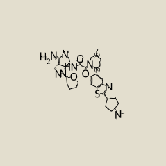 C[C@H]1CC[C@H](c2ccc3sc(C4CCC(N(C)C)CC4)nc3c2)N(C(=O)C(=O)Nc2cnc(N)c3cnn(C4CCCCO4)c23)C1